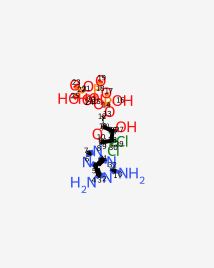 Nc1nc(N)c2ncn([C@@H]3O[C@H](COP(=O)(O)OP(=O)(O)OP(=O)(O)O)[C@@H](O)C3(Cl)Cl)c2n1